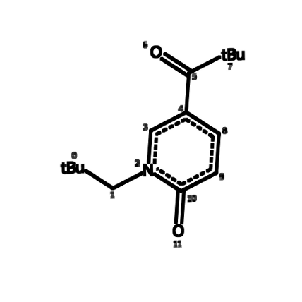 CC(C)(C)Cn1cc(C(=O)C(C)(C)C)ccc1=O